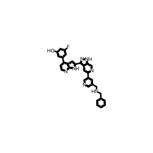 Oc1cc(F)cc(-c2ccnc3[nH]c(-c4n[nH]c5cnc(-c6cncc(CNCc7ccccc7)c6)cc45)cc23)c1